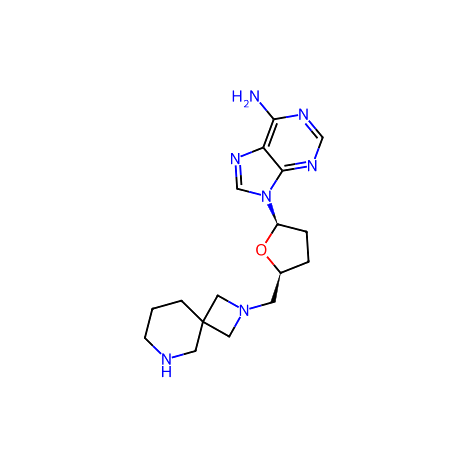 Nc1ncnc2c1ncn2[C@H]1CC[C@@H](CN2CC3(CCCNC3)C2)O1